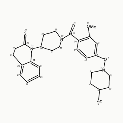 COc1cc(ON2CCC(C(C)=O)CC2)ccc1C(=O)N1CCC(N2C(=S)CCc3ccccc32)CC1